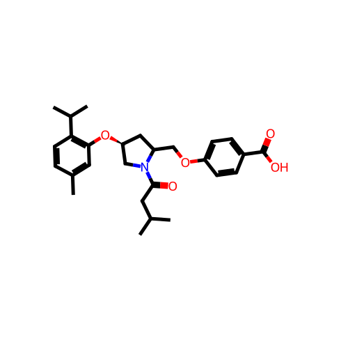 Cc1ccc(C(C)C)c(O[C@H]2CC(COc3ccc(C(=O)O)cc3)N(C(=O)CC(C)C)C2)c1